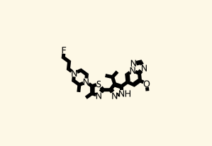 COc1cc(-c2[nH]nc(-c3nc(C)c(N4CCN(CCCF)CC4C)s3)c2C(C)C)cn2ncnc12